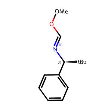 COO/C=N/[C@H](c1ccccc1)C(C)(C)C